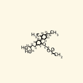 C=CC(=O)OCCOc1cc(CCC(CO)CO)ccc1-c1ccc(CCC)cc1C